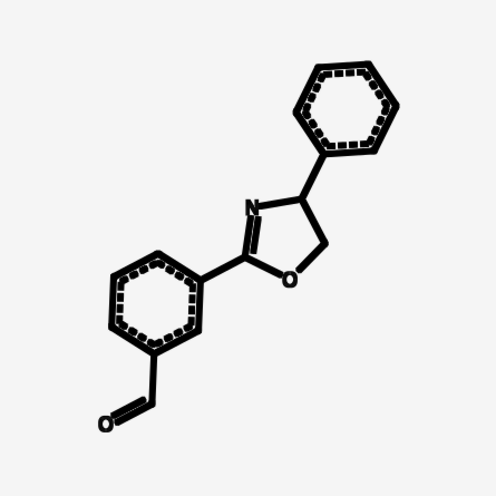 O=Cc1cccc(C2=NC(c3ccccc3)CO2)c1